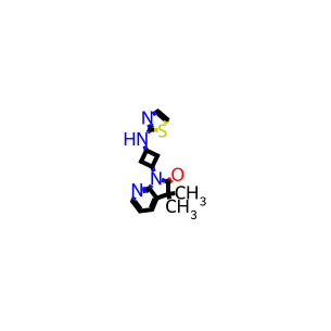 CC1(C)C(=O)N(C2CC(Nc3nccs3)C2)c2ncccc21